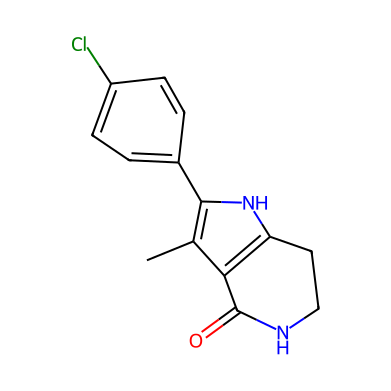 Cc1c(-c2ccc(Cl)cc2)[nH]c2c1C(=O)NCC2